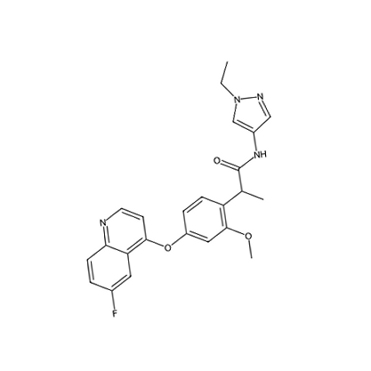 CCn1cc(NC(=O)C(C)c2ccc(Oc3ccnc4ccc(F)cc34)cc2OC)cn1